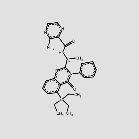 CC[Si](CC)(CC)c1cccc2nc([C@H](C)NC(=O)c3nccnc3N)n(-c3ccccc3)c(=O)c12